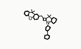 CC1(C)C2=C(C=C2Cc2ccc3c(c2)C(C)(C)c2ccccc2O3)N(c2ccc(-c3ccccc3)cc2)c2ccccc21